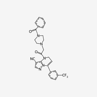 N#Cc1cnn2c1N(C(=O)CN1CCN(C(=O)c3ccccc3)CC1)CC=C2c1cccc(C(F)(F)F)c1